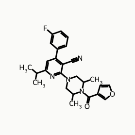 CC(C)c1cc(-c2cccc(F)c2)c(C#N)c(N2CC(C)N(C(=O)c3ccoc3)C(C)C2)n1